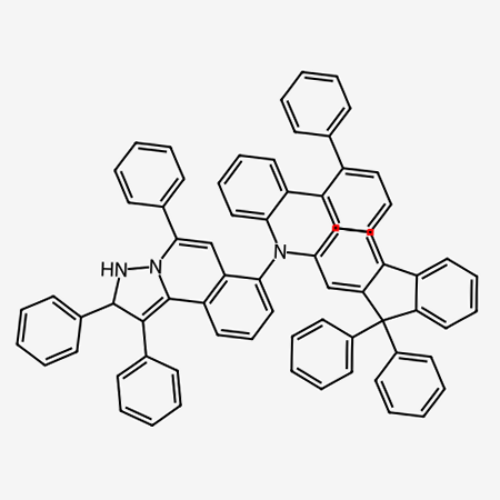 C1=C(c2ccccc2)N2NC(c3ccccc3)C(c3ccccc3)=C2c2cccc(N(c3ccc4c(c3)C(c3ccccc3)(c3ccccc3)c3ccccc3-4)c3ccccc3-c3ccccc3-c3ccccc3)c21